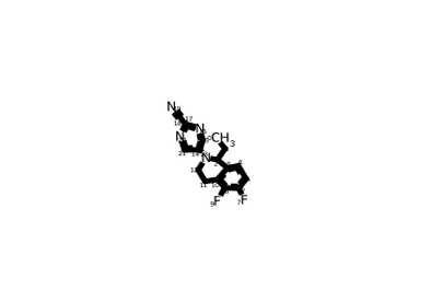 CCC1c2ccc(F)c(F)c2CCN1c1cnc(C#N)nc1